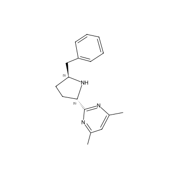 Cc1cc(C)nc([C@@H]2CC[C@@H](Cc3ccccc3)N2)n1